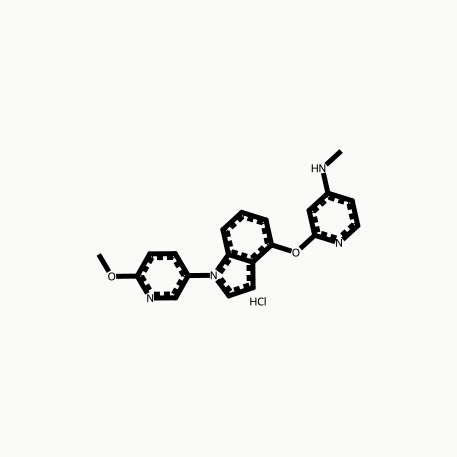 CNc1ccnc(Oc2cccc3c2ccn3-c2ccc(OC)nc2)c1.Cl